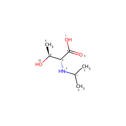 CC(C)N[C@@H](C(=O)O)[C@H](C)O